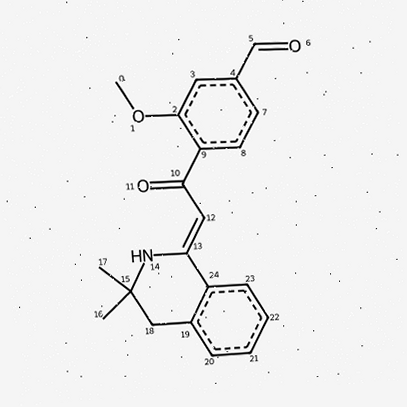 COc1cc(C=O)ccc1C(=O)C=C1NC(C)(C)Cc2ccccc21